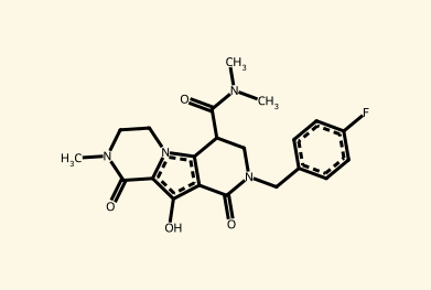 CN(C)C(=O)C1CN(Cc2ccc(F)cc2)C(=O)c2c(O)c3n(c21)CCN(C)C3=O